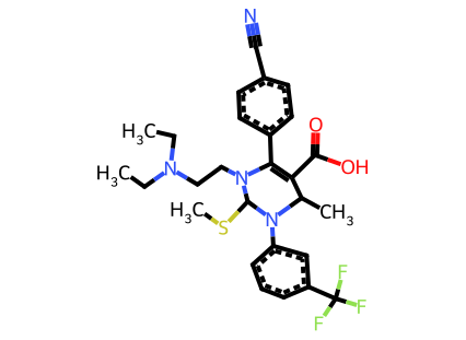 CCN(CC)CCN1C(c2ccc(C#N)cc2)=C(C(=O)O)C(C)N(c2cccc(C(F)(F)F)c2)C1SC